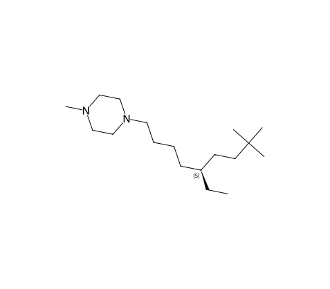 CC[C@@H](CCCCN1CCN(C)CC1)CCC(C)(C)C